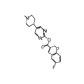 CN1CCC(c2cnc(OC(=O)C3=Cc4cc(F)ccc4OC3)nc2)CC1